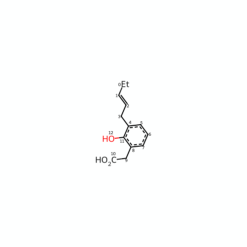 CC/C=C/Cc1cccc(CC(=O)O)c1O